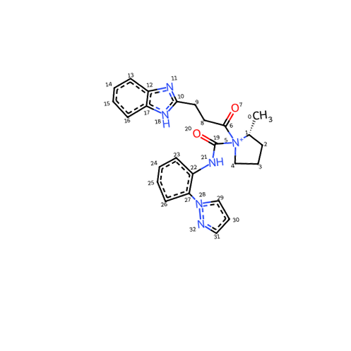 C[C@@H]1CCC[N+]1(C(=O)CCc1nc2ccccc2[nH]1)C(=O)Nc1ccccc1-n1cccn1